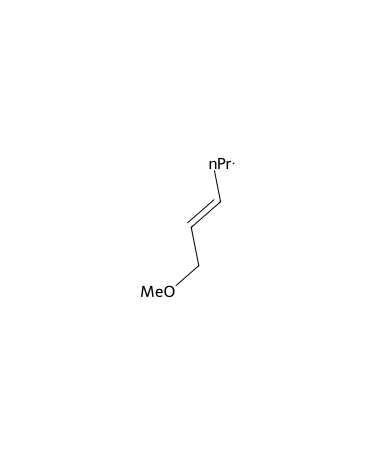 CC[CH]/C=C/COC